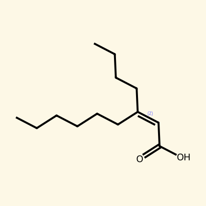 CCCCCC/C(=C\C(=O)O)CCCC